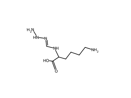 NCCCCC(NC=NNN)C(=O)O